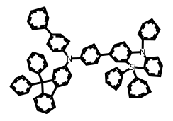 c1ccc(-c2ccc(N(c3ccc(-c4ccc5c(c4)[Si](c4ccccc4)(c4ccccc4)c4ccccc4N5c4ccccc4)cc3)c3ccc4c(c3)C(c3ccccc3)(c3ccccc3)c3ccccc3-4)cc2)cc1